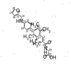 C/C(=C\c1c(C)c(C)c(-c2ccc(NCc3ccco3)cc2)c(C)c1C)C(=O)NCC(=O)O